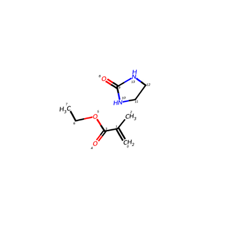 C=C(C)C(=O)OCC.O=C1NCCN1